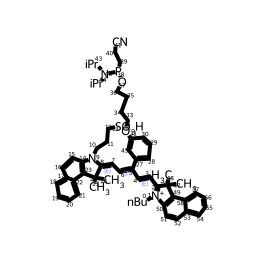 CCCC[N+]1=C(/C=C/C(=C/C=C2/N(CCCS(=O)(=O)O)c3ccc4ccccc4c3C2(C)C)c2cccc(OCCCCOP(CCC#N)N(C(C)C)C(C)C)c2)C(C)(C)c2c1ccc1ccccc21